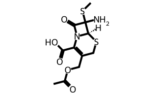 CSC1(N)C(=O)N2C(C(=O)O)=C(COC(C)=O)CS[C@@H]21